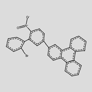 O=[N+]([O-])c1ccc(-c2ccc3c4ccccc4c4ccccc4c3c2)cc1-c1ccccc1Br